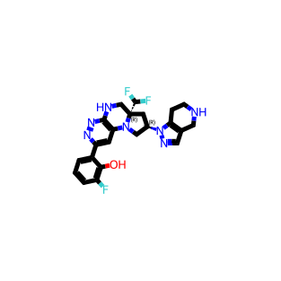 Oc1c(F)cccc1-c1cc2c(nn1)NC[C@@]1(C(F)F)C[C@@H](n3ncc4c3CCNC4)CN21